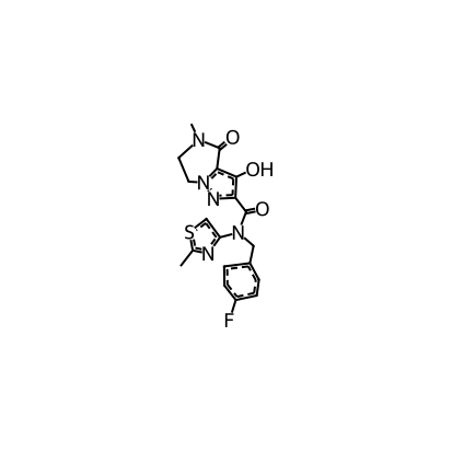 Cc1nc(N(Cc2ccc(F)cc2)C(=O)c2nn3c(c2O)C(=O)N(C)CC3)cs1